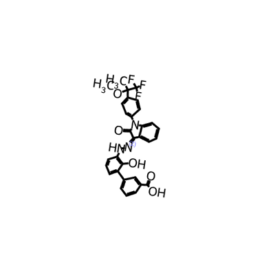 COC(C)(c1ccc(N2C(=O)/C(=N\Nc3cccc(-c4cccc(C(=O)O)c4)c3O)c3ccccc32)cc1)C(F)(F)F